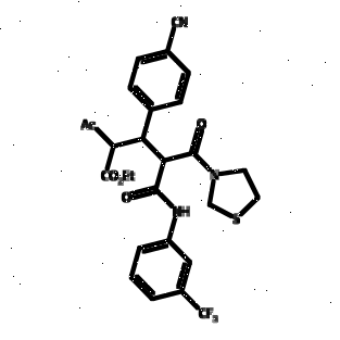 CCOC(=O)C(C(C)=O)C(c1ccc(C#N)cc1)C(C(=O)Nc1cccc(C(F)(F)F)c1)C(=O)N1CCSC1